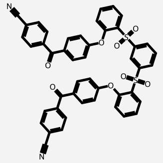 N#Cc1ccc(C(=O)c2ccc(Oc3ccccc3S(=O)(=O)c3cccc(S(=O)(=O)c4ccccc4Oc4ccc(C(=O)c5ccc(C#N)cc5)cc4)c3)cc2)cc1